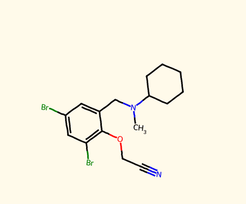 CN(Cc1cc(Br)cc(Br)c1OCC#N)C1CCCCC1